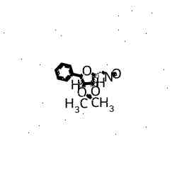 CC1(C)O[C@@H]2[C@@H](CN=O)OC(c3ccccc3)[C@@H]2O1